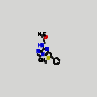 COCCNc1nc2cc(-c3ccccc3)sc2n2c(C)cnc12